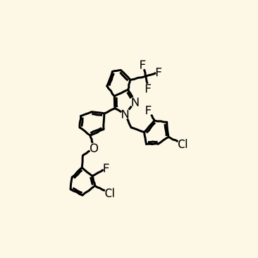 Fc1cc(Cl)ccc1Cn1nc2c(C(F)(F)F)cccc2c1-c1cccc(OCc2cccc(Cl)c2F)c1